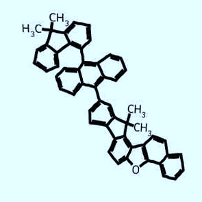 CC1(C)c2ccccc2-c2c(-c3c4ccccc4c(-c4ccc5c(c4)C(C)(C)c4c-5ccc5oc6c7ccccc7ccc6c45)c4ccccc34)cccc21